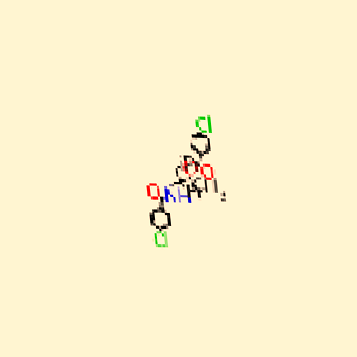 CC(C)CC(CNC(=O)c1ccc(Cl)cc1)(C(C)C)C(C)OC(=O)c1ccc(Cl)cc1